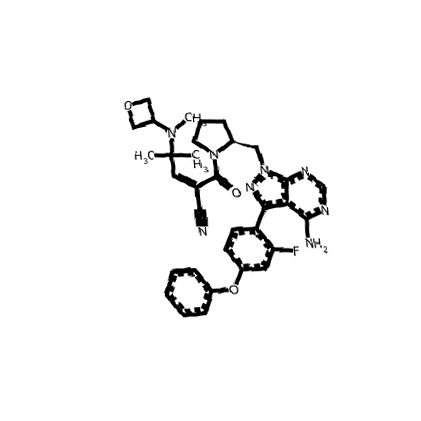 CN(C1COC1)C(C)(C)/C=C(/C#N)C(=O)N1CCC[C@H]1Cn1nc(-c2ccc(Oc3ccccc3)cc2F)c2c(N)ncnc21